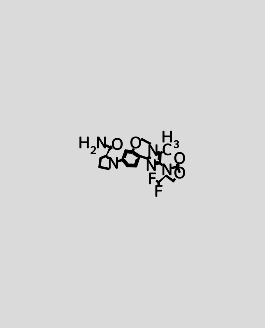 Cc1c(N2C(=O)OC[C@H]2C(F)F)nc2n1CCOc1cc(N3CCC[C@H]3C(N)=O)ccc1-2